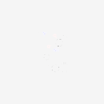 Cc1ccc(Sc2ccc([S+]([O-])Nc3ccc(C(F)(F)F)c(O[C@@H]4CCN(C)C4)c3)s2)cc1C